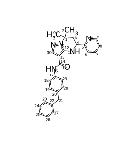 CC1(C)CC(c2ccccn2)Nc2c(C(=O)Nc3ccc(Cc4ccccc4)cc3)cnn21